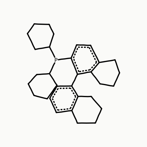 c1cc2c(c(-c3c(P(C4CCCCC4)C4CCCCC4)ccc4c3CCCC4)c1)CCCC2